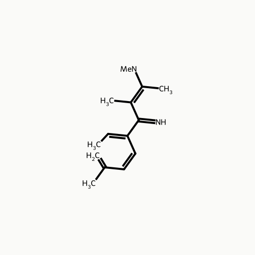 C=C(C)/C=C\C(=C/C)C(=N)/C(C)=C(\C)NC